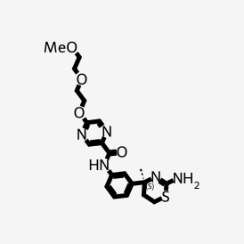 COCCOCCOc1cnc(C(=O)Nc2cccc([C@]3(C)CCSC(N)=N3)c2)cn1